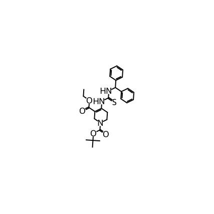 CCOC(=O)C1=C(NC(=S)NC(c2ccccc2)c2ccccc2)CCN(C(=O)OC(C)(C)C)C1